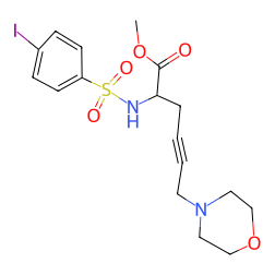 COC(=O)C(CC#CCN1CCOCC1)NS(=O)(=O)c1ccc(I)cc1